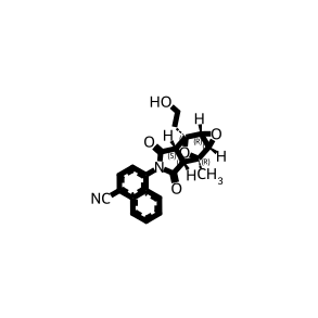 C[C@]12O[C@](CCO)([C@@H]3O[C@@H]31)[C@H]1C(=O)N(c3ccc(C#N)c4ccccc34)C(=O)[C@H]12